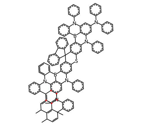 CC1C=CC2(C)C3=C1C(C)C=CC3(C)N(c1cc3c4c(c1)N(c1ccccc1)c1cc5c(cc1B4C1=CC=C=C=C1N3c1ccccc1C1=CC=CCC1)C1(c3cc4c(cc3S5)N(c3ccccc3)c3cc(N(c5ccccc5)c5ccccc5)cc5c3B4c3ccccc3N5c3ccccc3)c3ccccc3-c3ccccc31)c1ccccc12